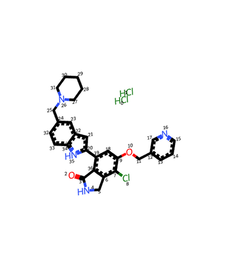 Cl.Cl.O=C1NCc2c(Cl)c(OCc3cccnc3)cc(-c3cc4cc(CN5CCCCC5)ccc4[nH]3)c21